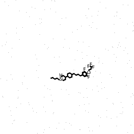 CCCCC[SiH]1CCC(C2CCC(CCCCc3cc(F)c(OCCC(F)(F)F)c(F)c3)CC2)CC1